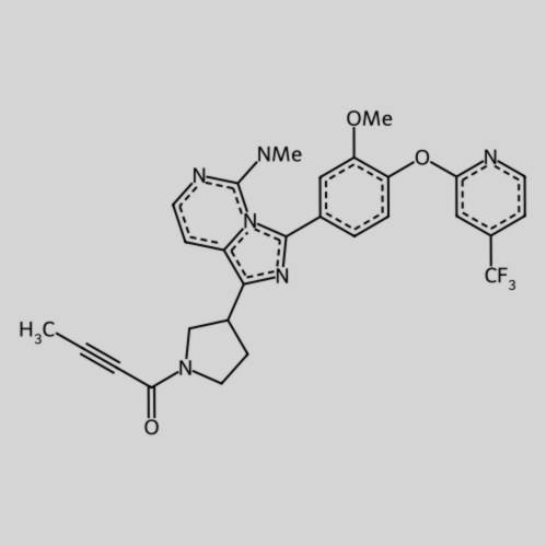 CC#CC(=O)N1CCC(c2nc(-c3ccc(Oc4cc(C(F)(F)F)ccn4)c(OC)c3)n3c(NC)nccc23)C1